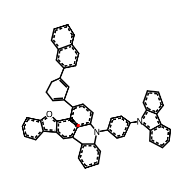 C1=C(c2ccc(N(c3ccc(-n4c5ccccc5c5ccccc54)cc3)c3ccccc3-c3ccc4oc5ccccc5c4c3)cc2)C=C(c2ccc3ccccc3c2)CC1